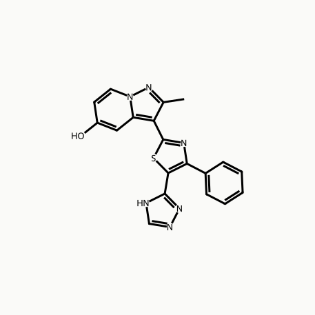 Cc1nn2ccc(O)cc2c1-c1nc(-c2ccccc2)c(-c2nnc[nH]2)s1